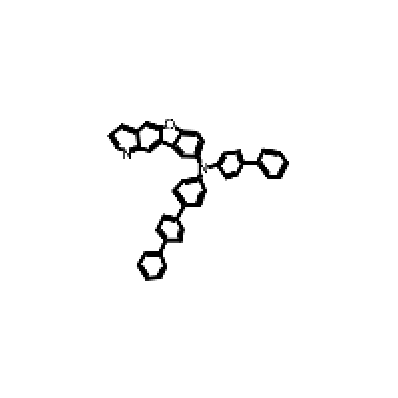 c1ccc(-c2ccc(-c3ccc(N(c4ccc(-c5ccccc5)cc4)c4ccc5oc6cc7cccnc7cc6c5c4)cc3)cc2)cc1